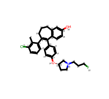 Cc1c(Cl)cccc1C1=C(c2ccc(O[C@H]3CCN(CCCF)C3)cc2)c2ccc(O)cc2CCC1